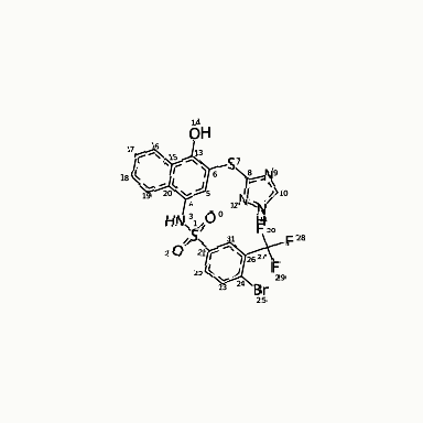 O=S(=O)(Nc1cc(Sc2nc[nH]n2)c(O)c2ccccc12)c1ccc(Br)c(C(F)(F)F)c1